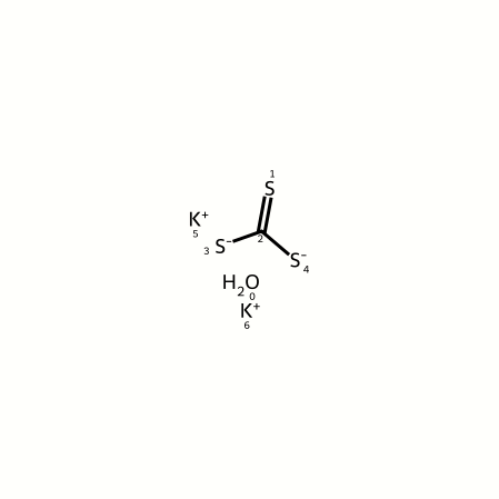 O.S=C([S-])[S-].[K+].[K+]